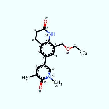 Cc1cc(-c2cc3c(c(COCC(F)(F)F)c2)NC(=O)CC3)cn(C)c1=O